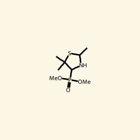 COP(=O)(OC)C1NC(C)SC1(C)C